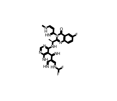 CN/C=C\C(=N)n1c([C@H](C)Nc2ncnc(N)c2C(=N)/C(C=N)=C/NC(F)F)nc2ccc(F)cc2c1=O